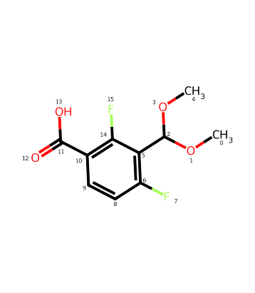 COC(OC)c1c(F)ccc(C(=O)O)c1F